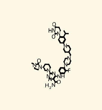 CC(C)c1cc(N2CCC(CN3CCN(c4ccc(Nc5nc(N6CCC[C@@H](N7CCN(C)C7=O)C6)nnc5C(N)=O)cc4F)CC3)CC2)ccc1N1CCC(=O)NC1=O